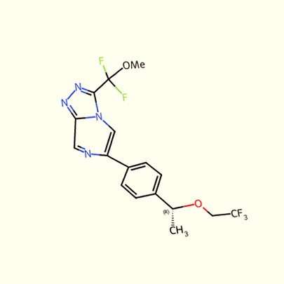 COC(F)(F)c1nnc2cnc(-c3ccc([C@@H](C)OCC(F)(F)F)cc3)cn12